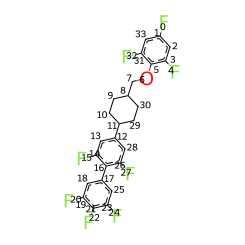 Fc1cc(F)c(OCC2CCC(c3cc(F)c(-c4cc(F)c(F)c(F)c4)c(F)c3)CC2)c(F)c1